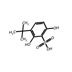 CC(C)(C)c1ccc(O)c(S(=O)(=O)O)c1O